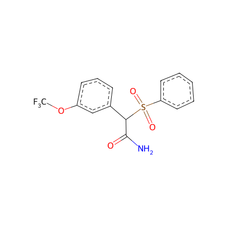 NC(=O)C(c1cccc(OC(F)(F)F)c1)S(=O)(=O)c1ccccc1